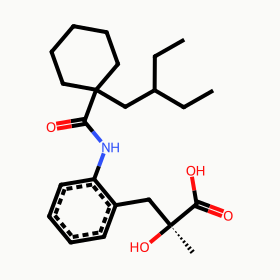 CCC(CC)CC1(C(=O)Nc2ccccc2C[C@](C)(O)C(=O)O)CCCCC1